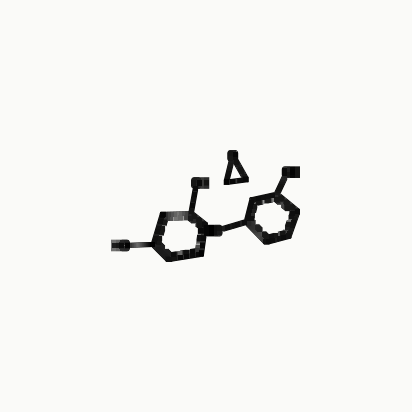 C1CO1.Oc1cccc(O)c1.Oc1cccc(O)c1